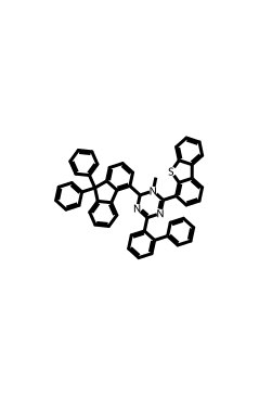 CN1C(c2cccc3c2sc2ccccc23)=NC(c2ccccc2-c2ccccc2)=NC1c1cccc2c1-c1ccccc1C2(c1ccccc1)c1ccccc1